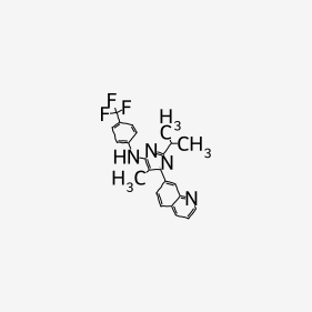 Cc1c(Nc2ccc(C(F)(F)F)cc2)nc(C(C)C)nc1-c1ccc2cccnc2c1